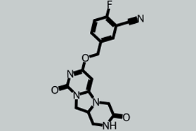 N#Cc1cc(COc2cc3n(c(=O)n2)CC2CNC(=O)CN32)ccc1F